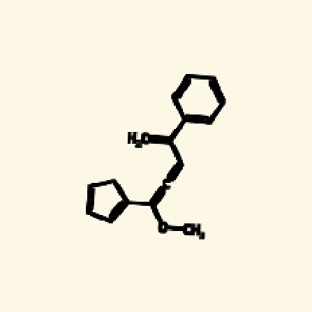 C=C(C=C=C(OC)C1=CC=CC1)c1ccccc1